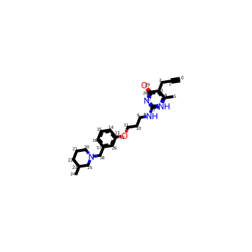 C#CCc1c(C)[nH]c(NCCCOc2cccc(CN3CCCC(C)C3)c2)nc1=O